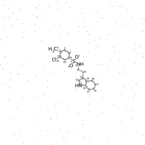 Cc1ccc(S(=O)(=O)NCCc2c[nH]c3ccccc23)cc1Cl